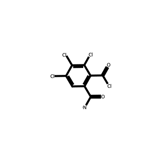 [N]C(=O)c1cc(Cl)c(Cl)c(Cl)c1C(=O)Cl